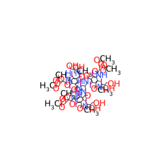 CC(=O)OCC(OC(C)=O)C(=O)Nc1c(I)c(C(=O)NCC(CNC(=O)c2c(I)c(NC(=O)C(COC(C)=O)OC(C)=O)c(I)c(C(=O)N(C)CC(O)CO)c2I)CNC(=O)c2c(I)c(NC(=O)C(COC(C)=O)OC(C)=O)c(I)c(C(=O)N(C)CC(O)CO)c2I)c(I)c(C(=O)N(C)CC(O)CO)c1I